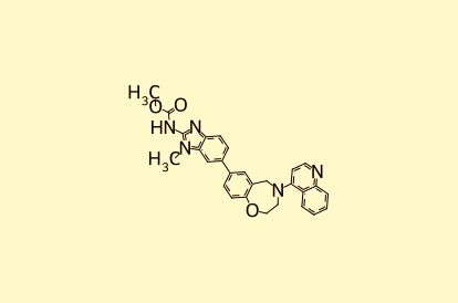 COC(=O)Nc1nc2ccc(-c3ccc4c(c3)CN(c3ccnc5ccccc35)CCO4)cc2n1C